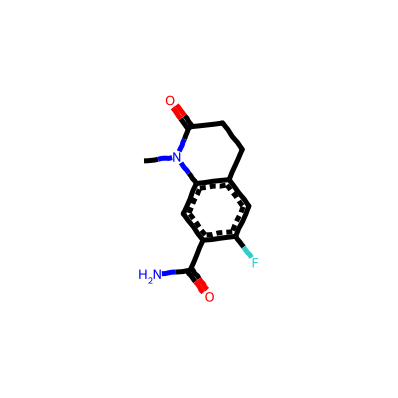 CN1C(=O)CCc2cc(F)c(C(N)=O)cc21